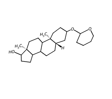 C[C@]12CCC3C(CC[C@H]4CC(OC5CCCCO5)CC[C@]34C)C1CCC2O